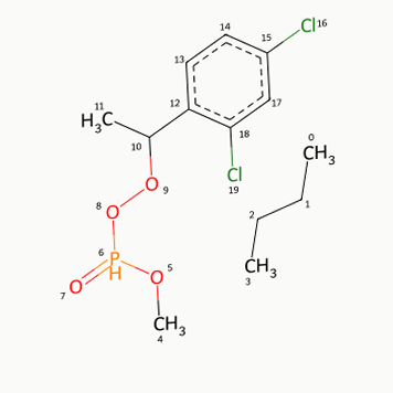 CCCC.CO[PH](=O)OOC(C)c1ccc(Cl)cc1Cl